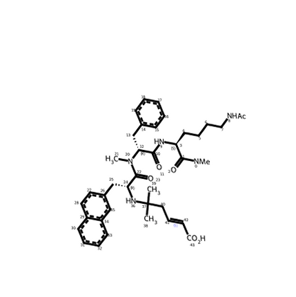 CNC(=O)[C@H](CCCCNC(C)=O)NC(=O)[C@@H](Cc1ccccc1)N(C)C(=O)[C@@H](Cc1ccc2ccccc2c1)NC(C)(C)C/C=C/C(=O)O